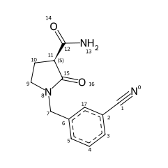 N#Cc1cccc(CN2CC[C@@H](C(N)=O)C2=O)c1